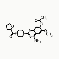 COc1cc2c(N)nc(N3CCN(C(=O)C4CCCO4)CC3)nc2cc1OC(C)=O